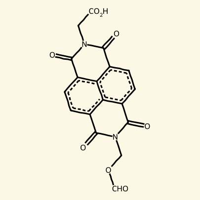 O=COCN1C(=O)c2ccc3c4c(ccc(c24)C1=O)C(=O)N(CC(=O)O)C3=O